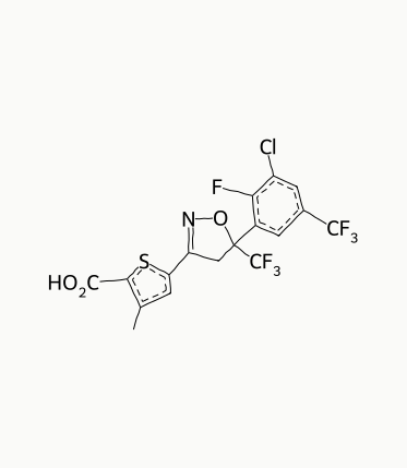 Cc1cc(C2=NOC(c3cc(C(F)(F)F)cc(Cl)c3F)(C(F)(F)F)C2)sc1C(=O)O